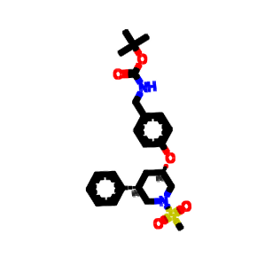 CC(C)(C)OC(=O)NCc1ccc(O[C@H]2C[C@@H](c3ccccc3)CN(S(C)(=O)=O)C2)cc1